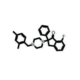 Cc1ccc(CN2CCN(C3(c4ccccc4)Cc4cccc(F)c4C3=O)CC2)c(C)c1